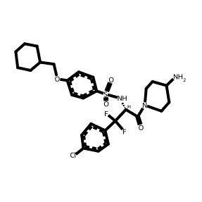 NC1CCN(C(=O)[C@@H](NS(=O)(=O)c2ccc(OCC3CCCCC3)cc2)C(F)(F)c2ccc(Cl)cc2)CC1